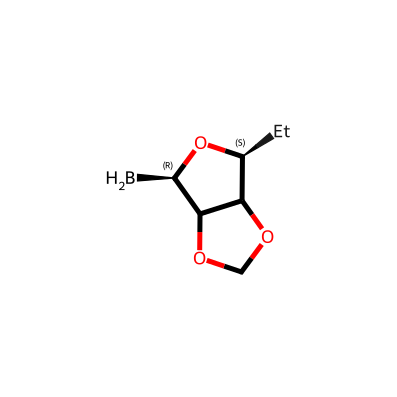 B[C@H]1O[C@@H](CC)C2OCOC21